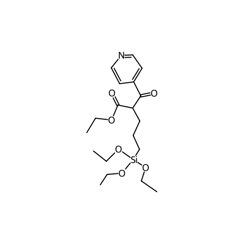 CCOC(=O)C(CCC[Si](OCC)(OCC)OCC)C(=O)c1ccncc1